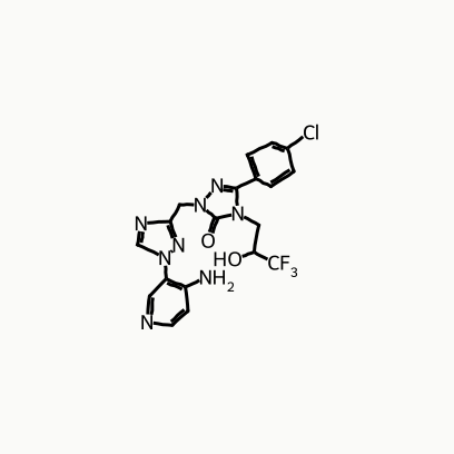 Nc1ccncc1-n1cnc(Cn2nc(-c3ccc(Cl)cc3)n(CC(O)C(F)(F)F)c2=O)n1